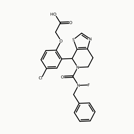 O=C(O)COc1ccc(Cl)cc1C1c2scnc2CCN1C(=O)N(F)Cc1ccccc1